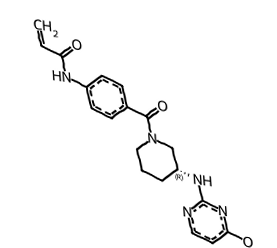 C=CC(=O)Nc1ccc(C(=O)N2CCC[C@@H](Nc3nccc(OCC)n3)C2)cc1